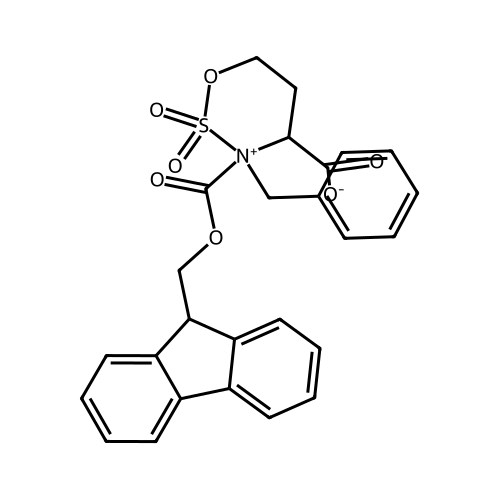 O=C([O-])C1CCOS(=O)(=O)[N+]1(Cc1ccccc1)C(=O)OCC1c2ccccc2-c2ccccc21